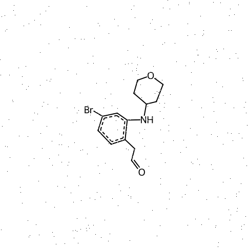 O=CCc1ccc(Br)cc1NC1CCOCC1